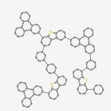 c1ccc(-c2cccc3c2sc2c(-c4cccc(-c5ccc6c7ccccc7c7cc(-c8ccc9sc%10c(-c%11ccc%12c%13ccccc%13c%13ccccc%13c%12c%11)cc(-c%11cccc(-c%12ccc(-c%13cccc%14c%13sc%13c(-c%15ccc%16c%17ccccc%17c%17ccccc%17c%16c%15)cccc%13%14)cc%12)c%11)cc%10c9c8)ccc7c6c5)c4)cccc23)cc1